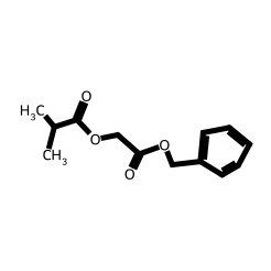 CC(C)C(=O)OCC(=O)OCc1ccccc1